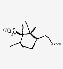 CC(=O)OCC1CCC(C)C(C)(C(=O)O)C1(C)C